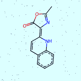 CC1=N/C(=C2/C=Cc3ccccc3N2)C(=O)O1